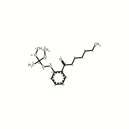 CCCCCCC(=O)c1ccccc1OOC(C)(OC)OC